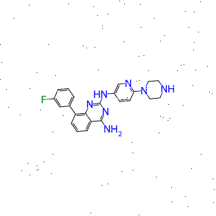 Nc1nc(Nc2ccc(N3CCNCC3)nc2)nc2c(-c3cccc(F)c3)cccc12